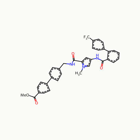 COC(=O)c1ccc(-c2ccc(CNC(=O)c3cc(NC(=O)c4ccccc4-c4ccc(C(F)(F)F)cc4)cn3C)cc2)cc1